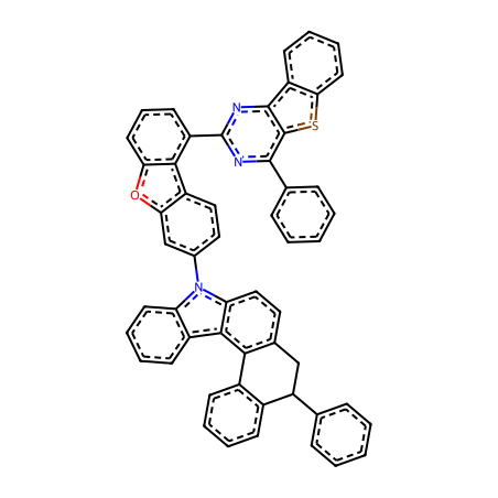 c1ccc(-c2nc(-c3cccc4oc5cc(-n6c7ccccc7c7c8c(ccc76)CC(c6ccccc6)c6ccccc6-8)ccc5c34)nc3c2sc2ccccc23)cc1